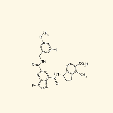 Cc1c(C(=O)O)ccc2c1CC[C@@H]2NC(=O)c1cc(C(=O)NCc2cc(F)cc(OC(F)(F)F)c2)nc2c(F)cnn12